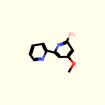 Bc1cc(OC)cc(-c2ccccn2)n1